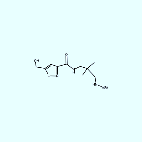 CCCCNCC(C)(C)CNC(=O)c1cc(CO)on1